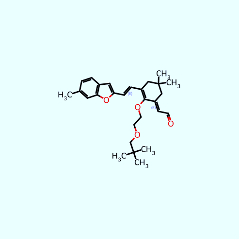 Cc1ccc2cc(/C=C/C3=C(OCCOCC(C)(C)C)C(=C/C=O)/CC(C)(C)C3)oc2c1